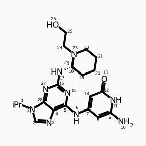 CC(C)n1cnc2c(Nc3cc(N)[nH]c(=O)c3)nc(N[C@H]3CCCCN3CCO)nc21